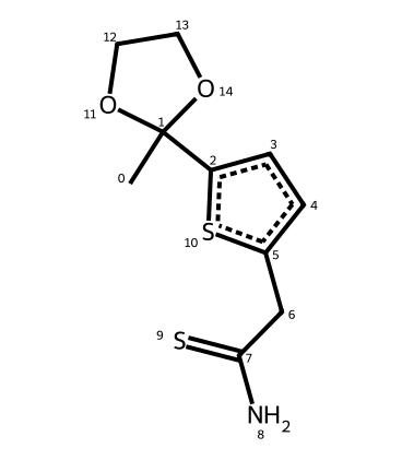 CC1(c2ccc(CC(N)=S)s2)OCCO1